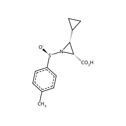 Cc1ccc([S@@+]([O-])N2[C@H](C3CC3)[C@@H]2C(=O)O)cc1